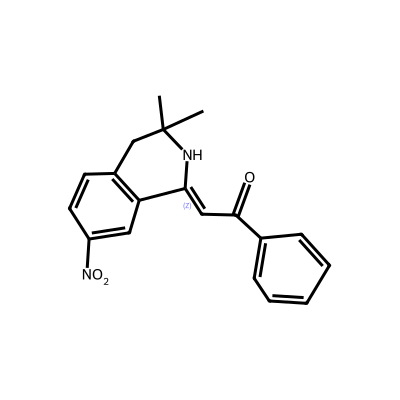 CC1(C)Cc2ccc([N+](=O)[O-])cc2/C(=C/C(=O)c2ccccc2)N1